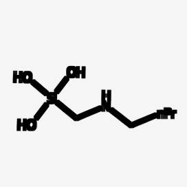 CCCCNC[Si](O)(O)O